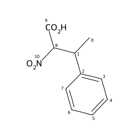 CC(c1ccccc1)C(C(=O)O)[N+](=O)[O-]